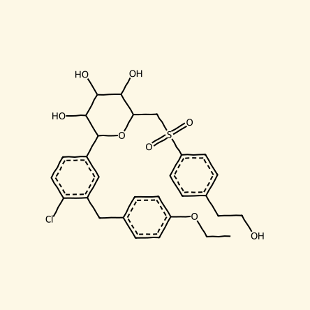 CCOc1ccc(Cc2cc(C3OC(CS(=O)(=O)c4ccc(CCO)cc4)C(O)C(O)C3O)ccc2Cl)cc1